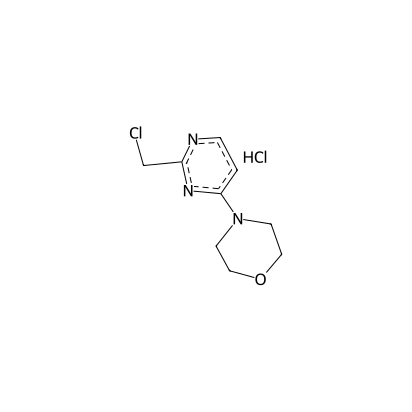 Cl.ClCc1nccc(N2CCOCC2)n1